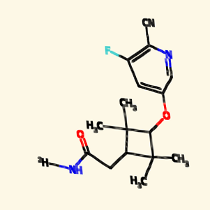 [2H]NC(=O)CC1C(C)(C)C(Oc2cnc(C#N)c(F)c2)C1(C)C